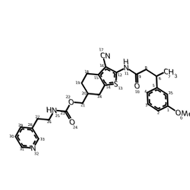 COc1cccc(C(C)CC(=O)Nc2sc3c(c2C#N)CCC(COC(=O)NCCc2cccnc2)C3)c1